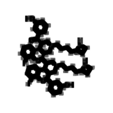 Cc1c(F)cccc1C1C(C(=O)c2cccc(O)c2)CN(CCCCC2CCN2)CC1C(=O)[C@@H]1CN(CCCCC2CCN2)C[C@H](C(=O)c2cccc(O)c2)[C@@H]1c1cccc(F)c1C